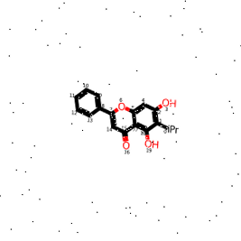 CC(C)c1c(O)cc2oc(-c3ccccc3)cc(=O)c2c1O